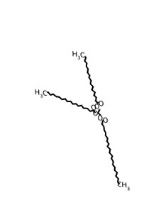 CCCCCCCCCCCCCCCCCCCCCCC(=O)OCC(COC(=O)CCCCCCCCCCCCCCCCC)OC(=O)CCCCCCCCCCCCCCCCC